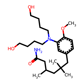 COc1ccc(CC(C)(C)CC(C)CC(N)=O)cc1N(CCCCO)CCCCO